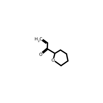 C=CC(=O)C1CCCCO1